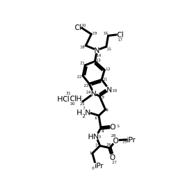 CC(C)CC(NC(=O)C(N)Cc1nc2cc(N(CCCl)CCCl)ccc2n1C)C(=O)OC(C)C.Cl.Cl